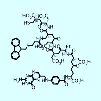 CC[C@H](NC(=O)[C@H](CC(=O)O)CC(=O)CC[C@H](NC(=O)c1ccc(NCc2cnc3nc(N)[nH]c(=O)c3n2)cc1)C(=O)O)C(=O)C[C@@H](CC(=O)O)C(=O)N[C@@H](CC(=O)O)C(=O)C[C@@H](CNC(=O)CCSCC1c2ccccc2-c2ccccc21)C(=O)N[C@@H](CC(=O)O)C(=O)C[C@@H](CS)C(=O)O